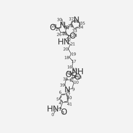 CNC(=O)c1ccc(N2CCC(S(=O)(=O)NCCCCCCNC(=O)[C@H]3CC(=O)N(C)[C@@H]3c3cccnc3)CC2)cc1